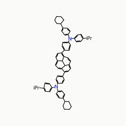 CC(C)c1ccc(N(c2ccc(C3=CC=C4C=CC5=C(c6ccc(N(c7ccc(C(C)C)cc7)c7ccc(C8CCCCC8)cc7)cc6)C=CC6=CC=C3C4C65)cc2)c2ccc(C3CCCCC3)cc2)cc1